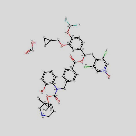 O=C(O[C@@H](Cc1c(Cl)c[n+]([O-])cc1Cl)c1ccc(OC(F)F)c(OCC2CC2)c1)c1ccc(CN(C(=O)O[C@H]2CN3CCC2CC3)c2ccccc2O)cc1.O=CO